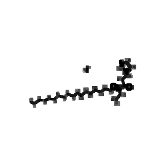 CCCCCCCCCCCCCCCCCCON(CCC)C(=O)CC[n+]1ccsc1.[I-]